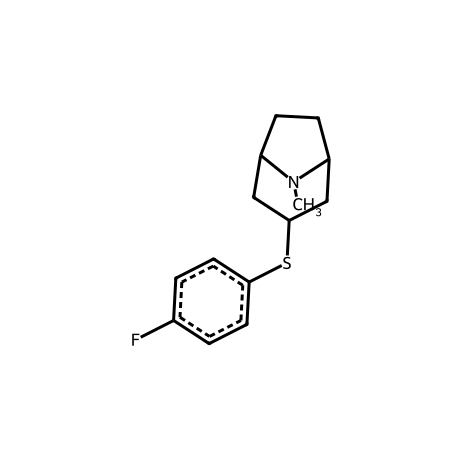 CN1C2CCC1CC(Sc1ccc(F)cc1)C2